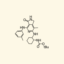 Cc1cccc(Nc2nc(NC3CCCC[C@@H]3NC(=O)OC(C)(C)C)c(C)c3c2C(=O)NC3)c1